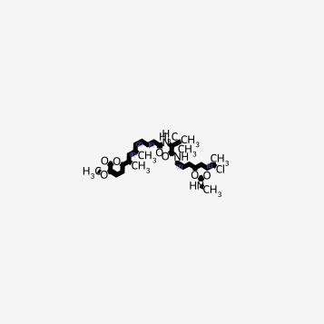 CNC(=O)OC(C/C=C\NC(=O)C(NC(=O)/C=C/C=C\C(C)=C\C(C)C1CC=C(OC)C(=O)O1)C(C)(C)C)C/C=C(\C)Cl